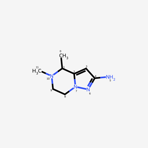 CC1c2cc(N)nn2CCN1C